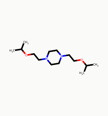 CC(C)OCCN1CCN(CCOC(C)C)CC1